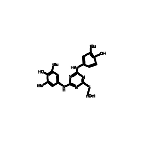 CCCCCCCCSc1nc(Nc2cc(C(C)(C)C)c(O)c(C(C)(C)C)c2)nc([AsH]c2ccc(O)c(C(C)(C)C)c2)n1